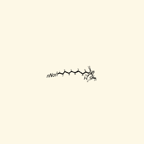 CCCCCCCCCCCCCCCCCC[Si](C)(C)O[SiH2]C